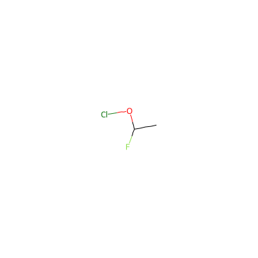 CC(F)OCl